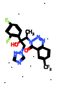 C[C@@H](n1nnc2ccc(C(F)(F)F)cc2c1=O)[C@](O)(Cn1cncn1)c1ccc(F)cc1F